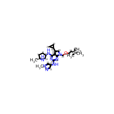 C[C@H]1CC[C@@H](Nc2nc(Nc3cnn(C)c3)nc3c2c(C2CC2)cn3COCC[Si](C)(C)C)CN1